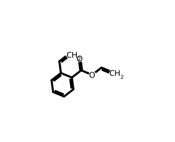 C=COC(=O)c1ccccc1C=C